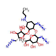 CCCN[C@@H]1CC(N=[N+]=[N-])[C@@H](O[C@H]2OC([C@@H](C)O)[C@@H](O)[C@H](O)C2N=[N+]=[N-])C(OC2O[C@H](CN=[N+]=[N-])C(O)C2O)[C@@H]1O